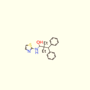 CCC(CC)(C(O)Nc1nccs1)C(c1ccccc1)c1ccccc1